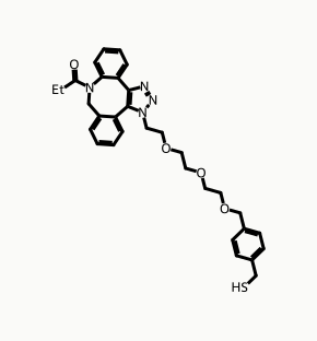 CCC(=O)N1Cc2ccccc2-c2c(nnn2CCOCCOCCOCc2ccc(CS)cc2)-c2ccccc21